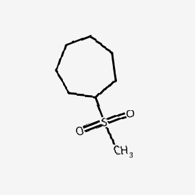 CS(=O)(=O)C1CCCCCC1